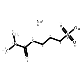 CN(C)C(=O)SCCCS(=O)([O-])=S.[Na+]